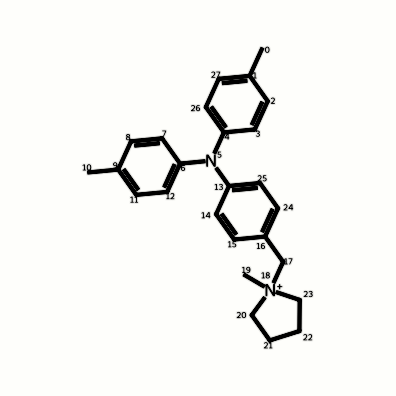 Cc1ccc(N(c2ccc(C)cc2)c2ccc(C[N+]3(C)CCCC3)cc2)cc1